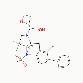 CS(=O)(=O)N[C@@H]1[C@H](Cc2cccc(-c3ccccc3)c2F)N(C(O)C2CCO2)CC1(F)F